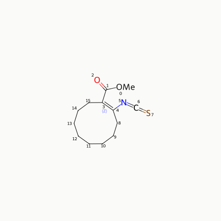 COC(=O)/C1=C(\N=C=S)CCCCCCCC1